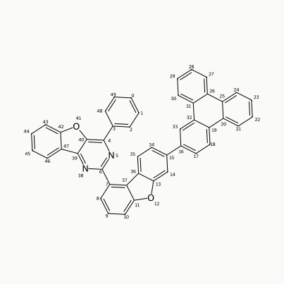 c1ccc(-c2nc(-c3cccc4oc5cc(-c6ccc7c8ccccc8c8ccccc8c7c6)ccc5c34)nc3c2oc2ccccc23)cc1